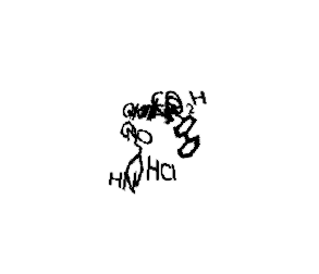 Cl.O=C(NC(CNC(=O)[C@@H]1CCCN(C(=O)CCC2CCNCC2)C1)C(=O)O)c1ccc(-c2ccccc2)cc1